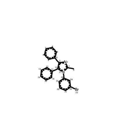 Cc1nc(-c2ccccc2)c(-c2ccccc2)n1-c1cccc(Br)c1